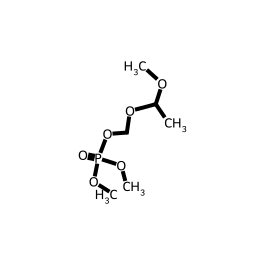 COC(C)OCOP(=O)(OC)OC